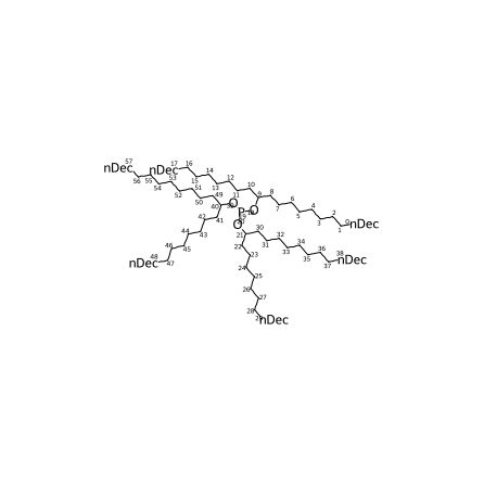 CCCCCCCCCCCCCCCCCCC(CCCCCCCCCCCCCCCCC)OP(OC(CCCCCCCCCCCCCCCCC)CCCCCCCCCCCCCCCCCC)OC(CCCCCCCCCCCCCCCCC)CCCCCCCCCCCCCCCCCC